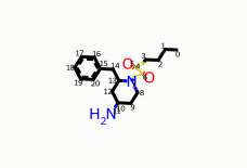 CCCCS(=O)(=O)N1CCC(N)CC1Cc1ccccc1